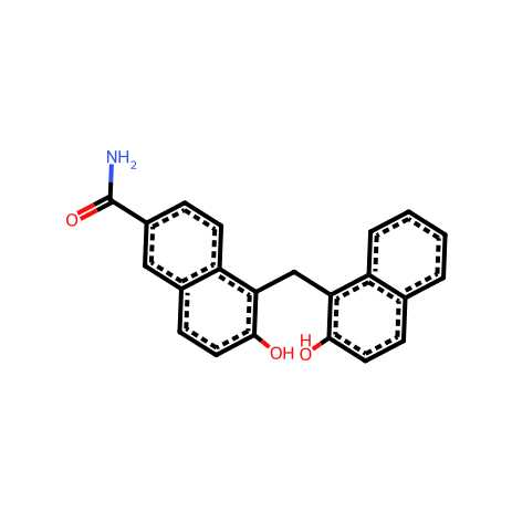 NC(=O)c1ccc2c(Cc3c(O)ccc4ccccc34)c(O)ccc2c1